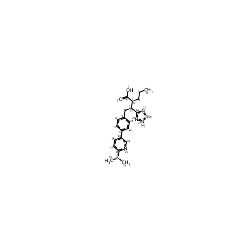 CCC[C@H](C(=O)O)[C@H](Cc1ccc(-c2ccc(N(C)C)nc2)cc1)c1nn[nH]n1